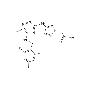 CNC(=O)Cn1cc(Nc2ncc(Cl)c(NCc3c(F)cc(F)cc3F)n2)cn1